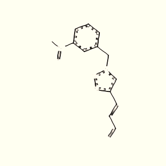 O=CC=Cc1cn(Cc2cccc([N+](=O)[O-])c2)nn1